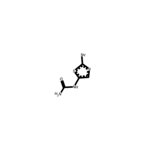 NC(=O)Nc1cnc(S)s1